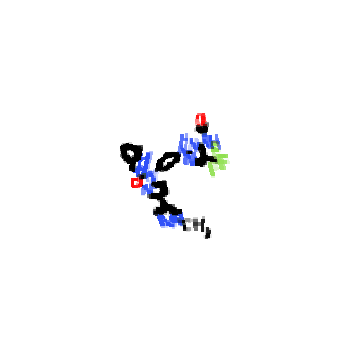 Cn1cc(-c2ccc(N(C(=O)NCc3ccccc3)[C@H]3CC[C@H](Nc4ncc(C(F)(F)F)c(NC5COC5)n4)CC3)nc2)cn1